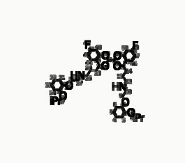 CC(C)Oc1ccccc1OCCNCCCC(OC(=O)C(=O)OC(CCCNCCOc1ccccc1OC(C)C)c1ccc(F)cc1)c1ccc(F)cc1